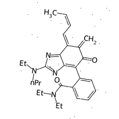 C=C1C(=O)C(c2ccccc2C(=O)N(CC)CC)=C2N=C(N(CC)CCC)N=C2/C1=C/C=C\C